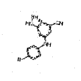 N#Cc1cc(Nc2ccc(Br)cc2)nc(NN)n1